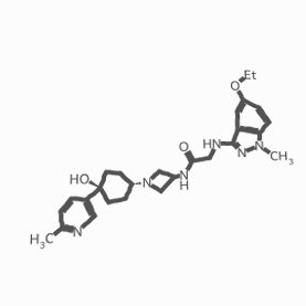 CCOc1ccc2c(c1)c(NCC(=O)NC1CN([C@H]3CC[C@@](O)(c4ccc(C)nc4)CC3)C1)nn2C